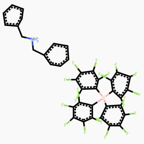 Fc1c(F)c(F)c([B-](c2c(F)c(F)c(F)c(F)c2F)(c2c(F)c(F)c(F)c(F)c2F)c2c(F)c(F)c(F)c(F)c2F)c(F)c1F.c1ccc(C[NH2+]Cc2ccccc2)cc1